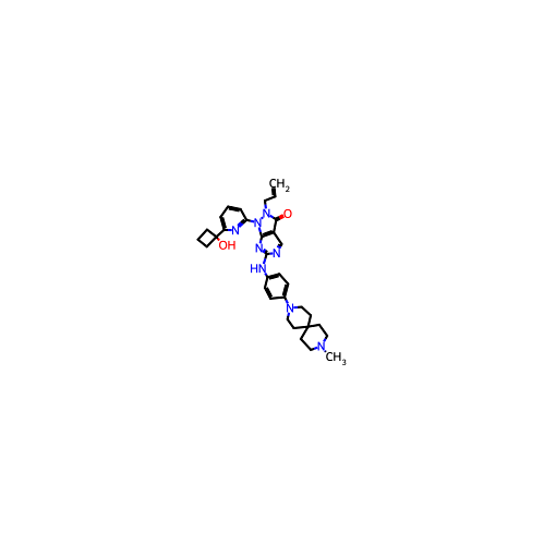 C=CCn1c(=O)c2cnc(Nc3ccc(N4CCC5(CCN(C)CC5)CC4)cc3)nc2n1-c1cccc(C2(O)CCC2)n1